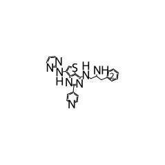 N[C@H](CNc1nc(-c2ccncc2)nc2c(Nc3ncccn3)csc12)Cc1ccccc1